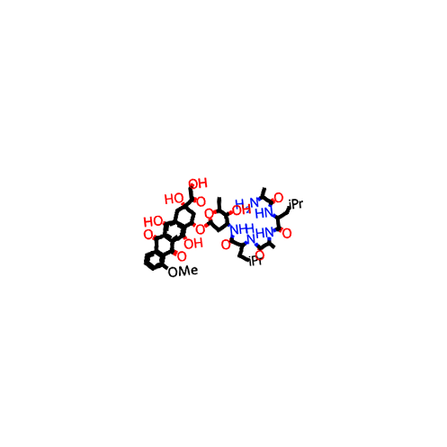 COc1cccc2c1C(=O)c1c(O)c3c(c(O)c1C2=O)CC(O)(C(=O)CO)CC3OC1CC(NC(=O)C(CC(C)C)NC(=O)C(C)NC(=O)C(CC(C)C)NC(=O)C(C)N)C(O)C(C)O1